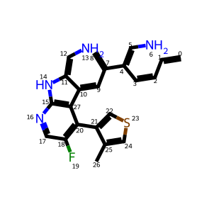 C=C/C=C\C(=C/N)C(=C)/C=c1\c(=C/N)[nH]c2ncc(F)c(-c3cscc3C)c12